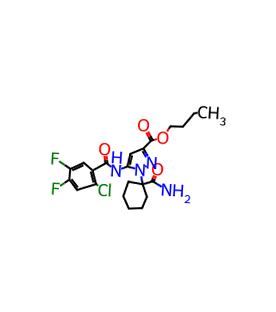 CCCCOC(=O)c1cc(NC(=O)c2cc(F)c(F)cc2Cl)n(C2(C(N)=O)CCCCC2)n1